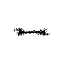 O=C(O)CC(O)(CC(=O)OCCOCCOCCOCCOCCOC(=O)CC(O)(CC(=O)O)C(=O)O)C(=O)O